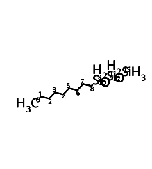 CCCCCCCCC[SiH2]O[SiH2]O[SiH3]